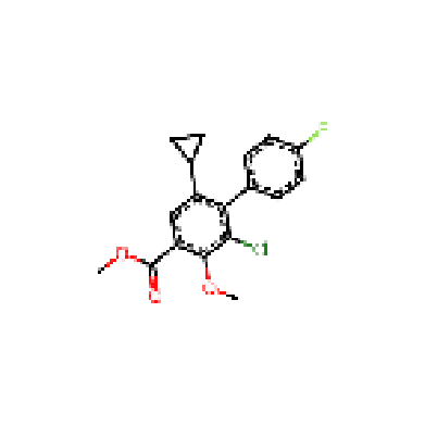 COC(=O)c1cc(C2CC2)c(-c2ccc(F)cc2)c(Cl)c1OC